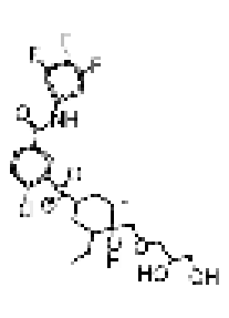 CCC1C[C@@H](S(=O)(=O)c2cc(C(=O)Nc3cc(F)c(F)c(F)c3)ccc2Cl)C[C@H](C)[C@@]1(O)COCC(O)CO